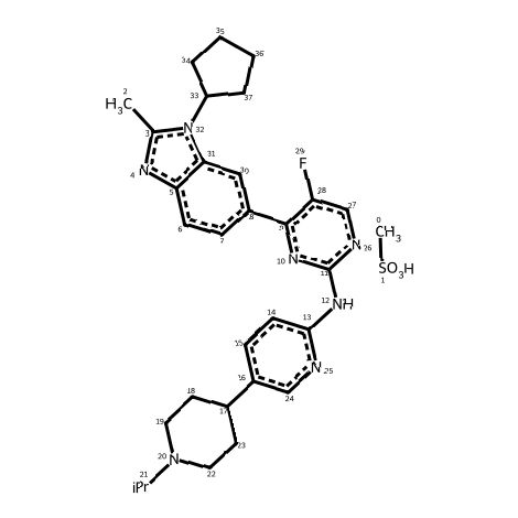 CS(=O)(=O)O.Cc1nc2ccc(-c3nc(Nc4ccc(C5CCN(C(C)C)CC5)cn4)ncc3F)cc2n1C1CCCC1